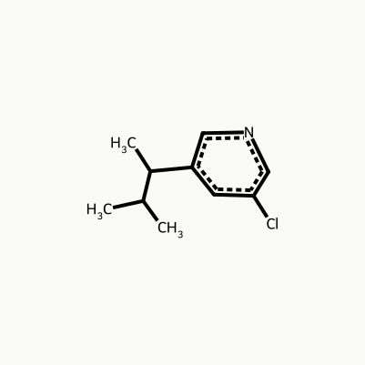 CC(C)C(C)c1cncc(Cl)c1